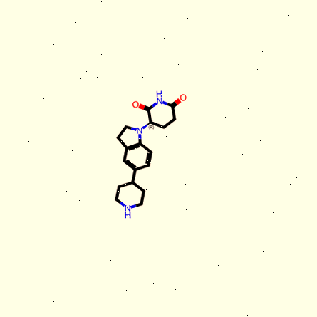 O=C1CC[C@@H](N2CCc3cc(C4CCNCC4)ccc32)C(=O)N1